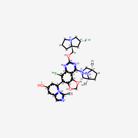 CCc1ncc2cc(O)cc(-c3c4c(c5c(N6C[C@H]7CC[C@@H](C6)N7)nc(OC[C@@]67CCCN6C[C@H](F)C7)nc5c3F)OCO4)n12